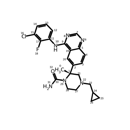 C[C@@]1(c2ccc3ncnc(Nc4cccc(Cl)c4F)c3c2)CN(CC2CC2)CCN1C(N)=O